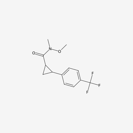 CON(C)C(=O)C1CC1c1ccc(C(F)(F)F)cc1